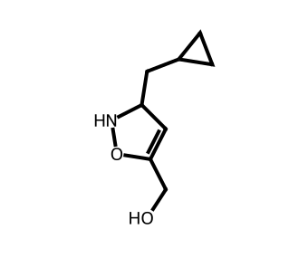 OCC1=CC(CC2CC2)NO1